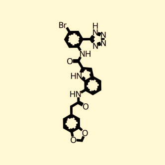 O=C(Cc1ccc2c(c1)OCO2)Nc1cccc2cc(C(=O)Nc3ccc(Br)cc3-c3nnn[nH]3)[nH]c12